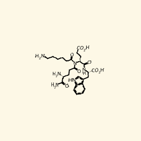 NCCCCCC(=O)N(C(=O)CC[C@@H](N)C(N)=O)[C@@H](CCC(=O)O)C(=O)N[C@@H](Cc1c[nH]c2ccccc12)C(=O)O